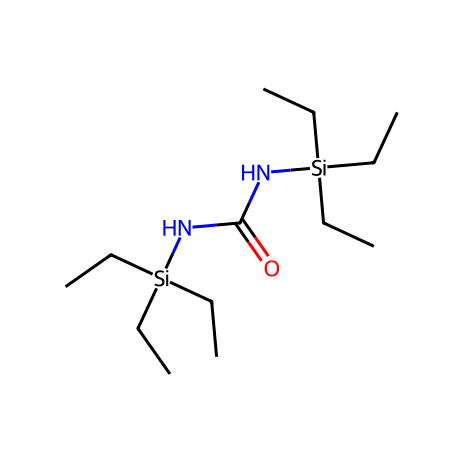 CC[Si](CC)(CC)NC(=O)N[Si](CC)(CC)CC